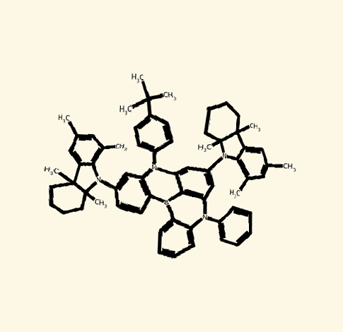 Cc1cc(C)c2c(c1)C1(C)CCCCC1(C)N2c1ccc2c(c1)N(c1ccc(C(C)(C)C)cc1)c1cc(N3c4c(C)cc(C)cc4C4(C)CCCCC34C)cc3c1B2c1ccccc1N3c1ccccc1